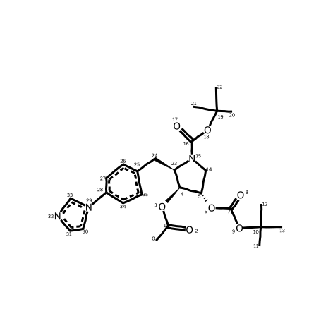 CC(=O)O[C@@H]1[C@@H](OC(=O)OC(C)(C)C)CN(C(=O)OC(C)(C)C)[C@@H]1Cc1ccc(-n2ccnc2)cc1